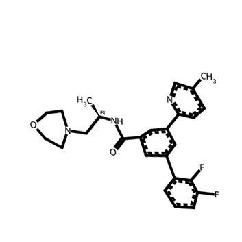 Cc1ccc(-c2cc(C(=O)N[C@H](C)CN3CCOCC3)cc(-c3cccc(F)c3F)c2)nc1